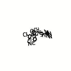 CN1C(=O)N(c2cc(Cl)cc(Cl)c2)C(=O)[C@]12CN(Cc1cc(-c3nnn[nH]3)cs1)C[C@H]2c1ccc(C#N)cc1